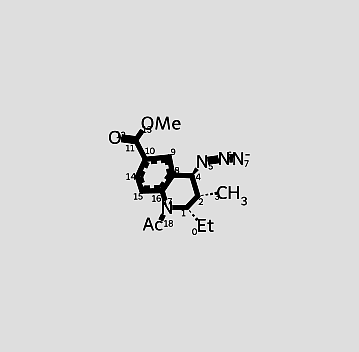 CC[C@H]1[C@@H](C)[C@H](N=[N+]=[N-])c2cc(C(=O)OC)ccc2N1C(C)=O